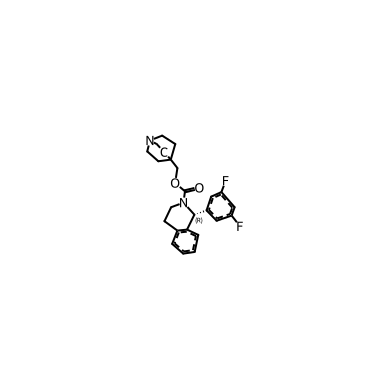 O=C(OCC12CCN(CC1)CC2)N1CCc2ccccc2[C@H]1c1cc(F)cc(F)c1